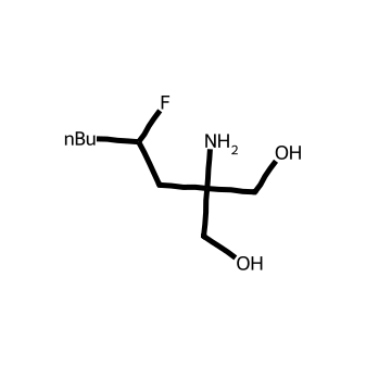 CCCCC(F)CC(N)(CO)CO